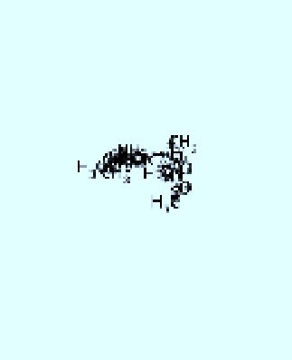 CCOC(=O)CCN(C(=O)c1ccc(CC)c(C#CCNc2ccc(C(=N)NC(=O)OC(C)(C)C)cc2)c1)c1ccccn1